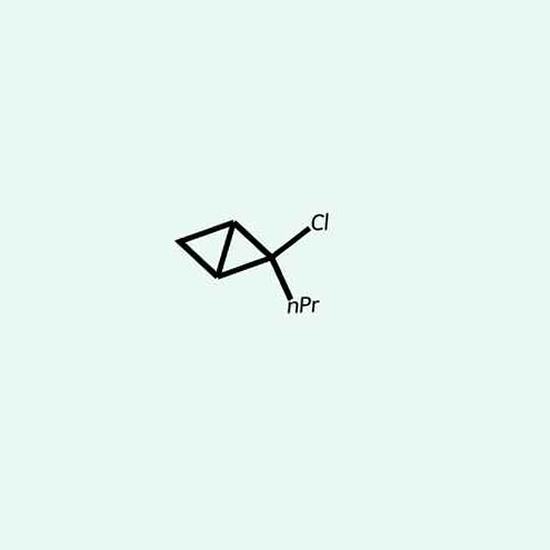 CCCC1(Cl)C2CC21